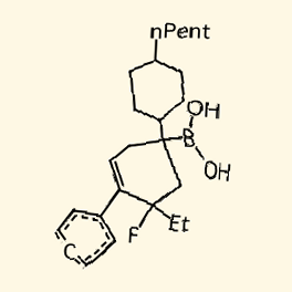 CCCCCC1CCC(C2(B(O)O)CC=C(c3ccccc3)C(F)(CC)C2)CC1